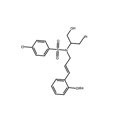 COc1ccccc1C=CCN(C(CO)CC(C)C)S(=O)(=O)c1ccc(Cl)cc1